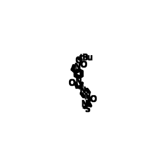 CC(C)(C)OC(=O)N1CCc2cc(N3C[C@H](N4CCN(C(=O)c5cscn5)CC4)CC3=O)ccc21